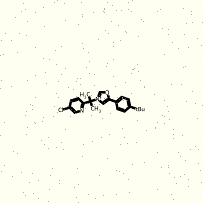 CC(C)(C)c1ccc(-c2c[n+](C(C)(C)c3ccc(Cl)cn3)co2)cc1